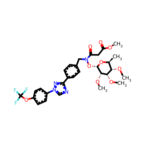 COC(=O)CC(=O)N(Cc1ccc(-c2ncn(-c3ccc(OC(F)(F)F)cc3)n2)cc1)O[C@@H]1O[C@@H](C)[C@H](OC)[C@H](OC)[C@@H]1OC